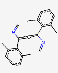 C=NC(=C=C(N=C)c1c(C)cccc1C)c1c(C)cccc1C